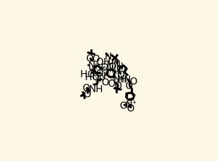 CN(C)CC(C)(C)CN[C@@H]1CC=C(CNC(=O)OCc2ccc([N+](=O)[O-])cc2)OC1[C@H]1[C@H](O)[C@@H](O[C@H]2OC[C@](C)(O)[C@H](N(C)C(=O)OC(C)(C)C)[C@H]2O)[C@H](NC(=O)[C@@H](O)CCNC(=O)OC(C)(C)C)C[C@@H]1NC(=O)OC(C)(C)C